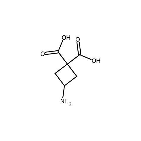 NC1CC(C(=O)O)(C(=O)O)C1